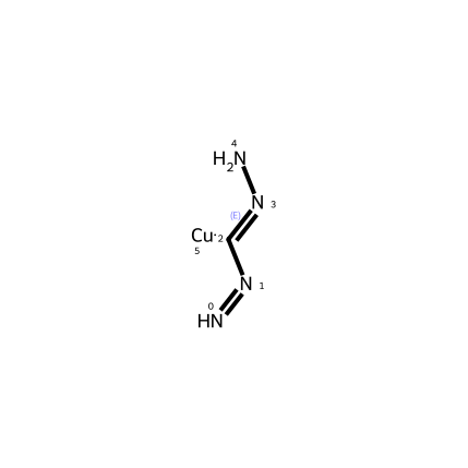 N=N/C=N/N.[Cu]